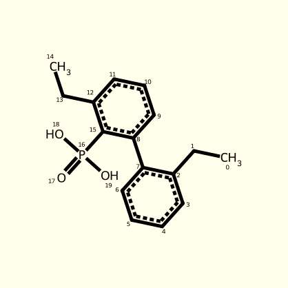 CCc1ccccc1-c1cccc(CC)c1P(=O)(O)O